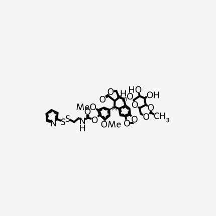 COc1cc([C@@H]2c3cc4c(cc3[C@@H](OC3OC5COC(C)OC5C(O)C3O)[C@H]3COC(=O)C23)OCO4)cc(OC)c1OC(=O)NCCSSc1ccccn1